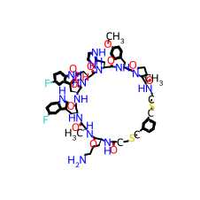 COc1ccc(C[C@@H]2NC(=O)[C@H](Cc3ncc[nH]3)NC(=O)[C@H](CC(=O)O)NC(=O)[C@H](Cc3c[nH]c4ccc(F)cc34)NC(=O)[C@H](Cc3c[nH]c4ccc(F)cc34)NC(=O)[C@@H](C)NC(=O)[C@H](CCCCN)NC(=O)CCSCc3cccc(c3)CSCCNC(=O)[C@]3(C)CCCN3C2=O)cc1